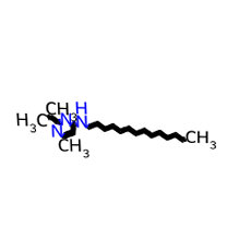 CCCCCCCCCCCCCCNc1cc(C)nc(C(C)C)n1